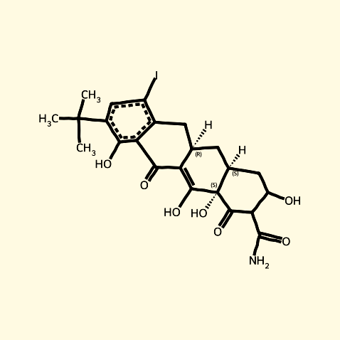 CC(C)(C)c1cc(I)c2c(c1O)C(=O)C1=C(O)[C@]3(O)C(=O)C(C(N)=O)C(O)C[C@@H]3C[C@@H]1C2